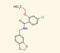 O=C(O)COc1cc(Cl)ccc1C(=O)NCc1ccc2c(c1)OCO2